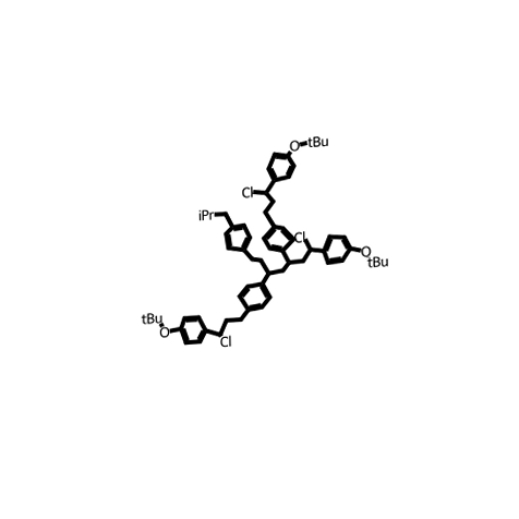 CC(C)Cc1ccc(CCC(CC(CC(Cl)c2ccc(OC(C)(C)C)cc2)c2ccc(CCC(Cl)c3ccc(OC(C)(C)C)cc3)cc2)c2ccc(CCC(Cl)c3ccc(OC(C)(C)C)cc3)cc2)cc1